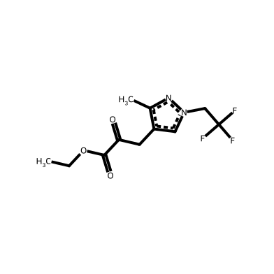 CCOC(=O)C(=O)Cc1cn(CC(F)(F)F)nc1C